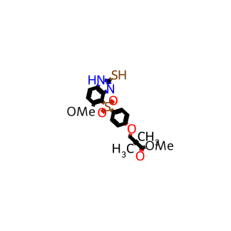 COC(=O)C(C)(C)COc1ccc(S(=O)(=O)c2c(OC)ccc3[nH]c(S)nc23)cc1